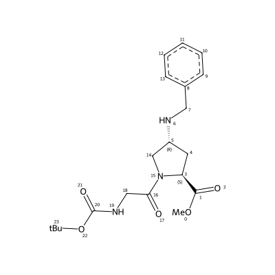 COC(=O)[C@@H]1C[C@@H](NCc2ccccc2)CN1C(=O)CNC(=O)OC(C)(C)C